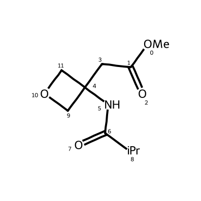 COC(=O)CC1(NC(=O)C(C)C)COC1